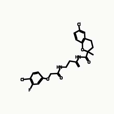 C=C(CCNC(=O)COc1ccc(Cl)c(F)c1)NC(=O)C1(C)CCc2cc(Cl)ccc2O1